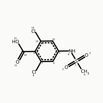 CS(=O)(=O)Nc1cc(Cl)c(C(=O)O)c(Cl)c1